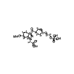 COc1ccc2c(C(=O)c3ccc(OCCOP(=O)(O)O)nc3)nn(CC(=O)C(C)(C)C)c2c1